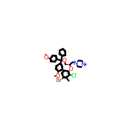 COc1ccc(C(OC[C@@H](CN2CCN(C)CC2)Oc2ccc(Br)c(C)c2Cl)(c2ccccc2)c2ccc(OC)cc2)cc1